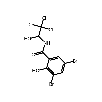 O=C(NC(O)C(Cl)(Cl)Cl)c1cc(Br)cc(Br)c1O